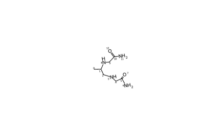 CC(CNCC(N)=O)NCC(N)=O